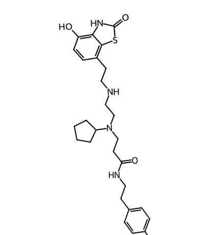 O=C(CCN(CCNCCc1ccc(O)c2[nH]c(=O)sc12)C1CCCC1)NCCc1ccc(Cl)cc1